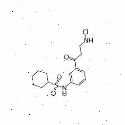 O=C(CCNCl)c1cccc(NS(=O)(=O)C2CCCCC2)c1